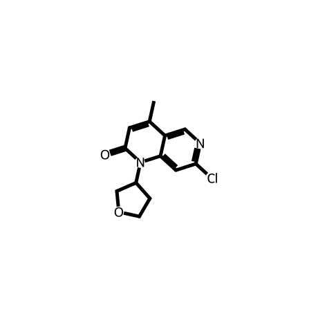 Cc1cc(=O)n(C2CCOC2)c2cc(Cl)ncc12